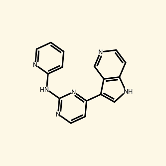 c1ccc(Nc2nccc(-c3c[nH]c4ccncc34)n2)nc1